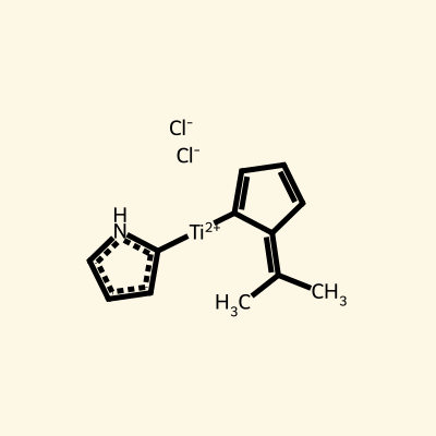 CC(C)=C1C=CC=[C]1[Ti+2][c]1ccc[nH]1.[Cl-].[Cl-]